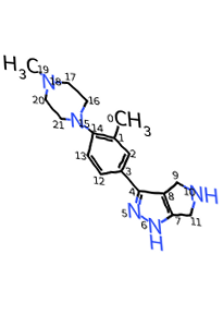 Cc1cc(-c2n[nH]c3c2CNC3)ccc1N1CCN(C)CC1